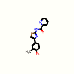 Cc1cc(-c2csc(NC(=O)c3ccccn3)n2)ccc1O